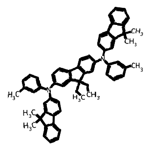 CCC1(CC)c2cc(N(c3cccc(C)c3)c3ccc4c(c3)C(C)(C)c3ccccc3-4)ccc2-c2ccc(N(c3cccc(C)c3)c3ccc4c(c3)C(C)(C)c3ccccc3-4)cc21